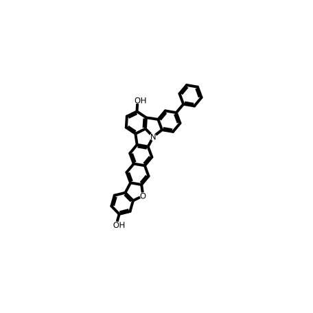 Oc1ccc2c(c1)oc1cc3cc4c(cc3cc12)c1ccc(O)c2c3cc(-c5ccccc5)ccc3n4c12